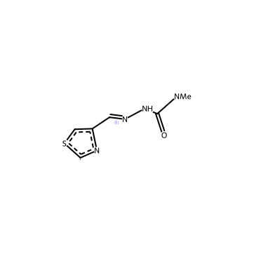 CNC(=O)N/N=C/c1cs[c]n1